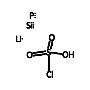 O=S(=O)(O)Cl.[Li].[P].[Si]